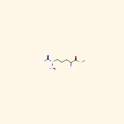 COC(=O)C(N)CCCN(C(=N)N)[N+](=O)[O-]